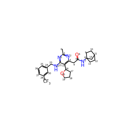 Cc1nc(CC(=O)NC23CCC(CC2)C3)c(C2CCCO2)c(NCc2cccc(C(F)(F)F)c2)n1